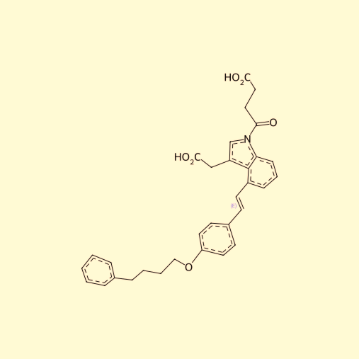 O=C(O)CCC(=O)n1cc(CC(=O)O)c2c(/C=C/c3ccc(OCCCCc4ccccc4)cc3)cccc21